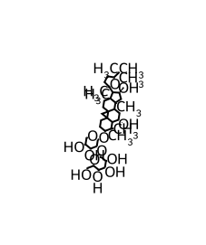 CC(C)(C)C1CC[C@](C)(C2[C@@H](O)C[C@@]3(C)C4C[C@H](O)C5C(C)(C)[C@@H](OC6OCC(O)C(O)C6OC6OC(CO)C(O)C(O)C6O)CCC56CC46CC[C@]23C)O1